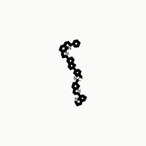 c1ccc(-c2ccc3ccc4ccc(-c5ccc6cc(-c7ccc8ccc(-c9ccc%10ccc(-c%11cccc%12cccnc%11%12)nc%10c9)nc8c7)ccc6c5)nc4c3n2)cc1